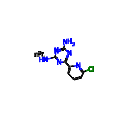 CCCNc1nc(N)nc(-c2cccc(Cl)n2)n1